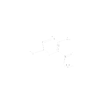 COC(=O)c1cc(Br)cnc1C(C)=O